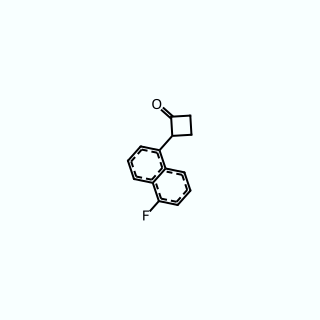 O=C1CCC1c1cccc2c(F)cccc12